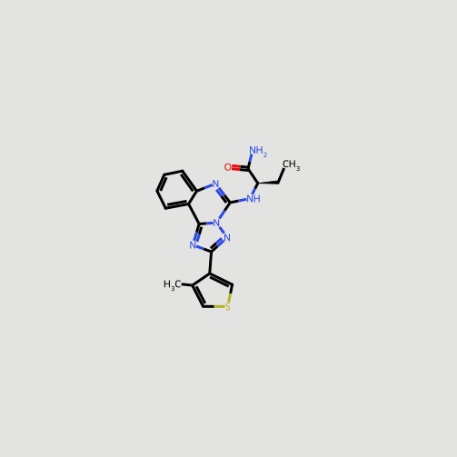 CC[C@@H](Nc1nc2ccccc2c2nc(-c3cscc3C)nn12)C(N)=O